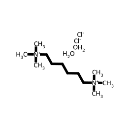 C[N+](C)(C)CCCCCC[N+](C)(C)C.O.O.[Cl-].[Cl-]